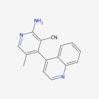 Cc1cnc(N)c(C#N)c1-c1ccnc2ccccc12